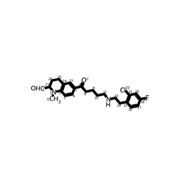 CN1c2ccc(C(=O)CCCCNCCc3ccc(F)cc3Cl)cc2CCC1C=O